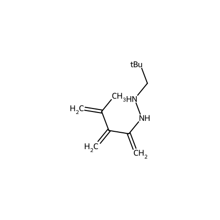 C=C(C)C(=C)C(=C)NNCC(C)(C)C